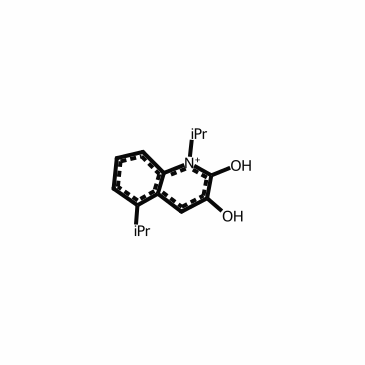 CC(C)c1cccc2c1cc(O)c(O)[n+]2C(C)C